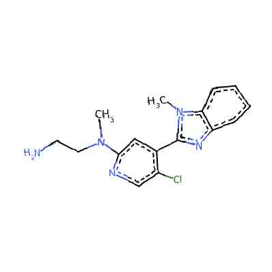 CN(CCN)c1cc(-c2nc3ccccc3n2C)c(Cl)cn1